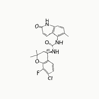 Cc1ccc2[nH]c(=O)ccc2c1NC(=O)N[C@@H]1CC(C)(C)Oc2c1ccc(Cl)c2F